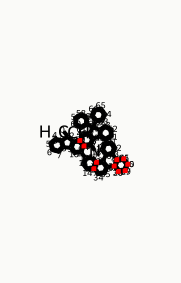 CC1(C)c2ccccc2-c2cc(-c3ccccc3N(c3cccc(-c4ccccc4)c3-c3ccccc3-c3ccccc3)c3cccc4c3-c3ccccc3C4(c3ccccc3)c3ccccc3)ccc21